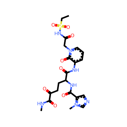 CCS(=O)(=O)NC(=O)Cn1cccc(NC(=O)C(CCC(=O)C(=O)NC)NC(=O)c2cncn2C)c1=O